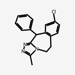 Cc1nnc2n1CCc1ccc(Cl)cc1C2c1ccccc1